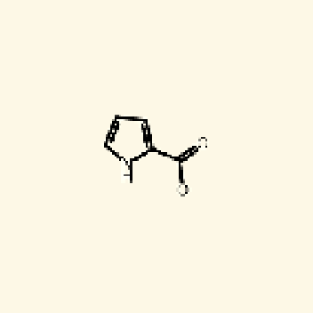 [O]C(=O)c1ccc[nH]1